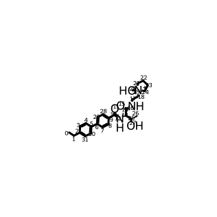 CCc1ccc(-c2ccc(C(=O)N[C@H](C(=O)NCC[N+]3(O)CCCC3)[C@@H](C)O)cc2)cc1